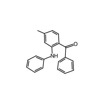 Cc1ccc(C(=O)c2ccccc2)c(Nc2ccccc2)c1